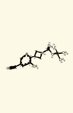 Cc1cc(C#N)cnc1C1CN(C(=O)OC(C)(C)C)C1